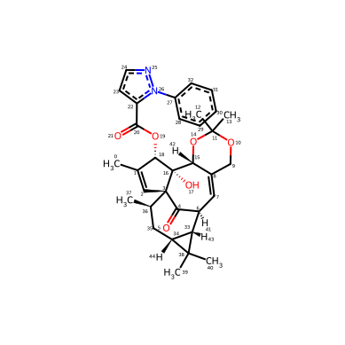 CC1=C[C@]23C(=O)[C@@H](C=C4COC(C)(C)O[C@H]4[C@]2(O)[C@H]1OC(=O)c1ccnn1-c1ccccc1)[C@H]1[C@@H](C[C@H]3C)C1(C)C